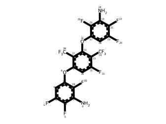 Nc1c(F)c(F)cc(Oc2cc(F)c(C(F)(F)F)c(Oc3cc(F)c(F)c(N)c3F)c2C(F)(F)F)c1F